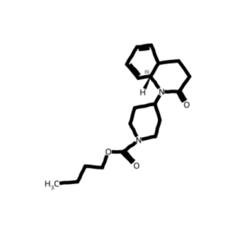 CCCCOC(=O)N1CCC(N2C(=O)CCC3C=CC=C[C@H]32)CC1